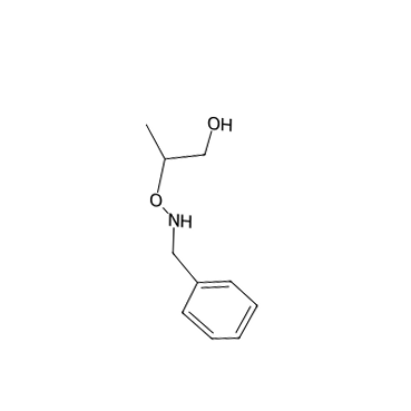 CC(CO)ONCc1ccccc1